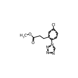 COC(=O)CCc1cc(Cl)ccc1-n1cnnn1